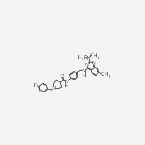 Cc1ccc2c(NCc3ccc(NC(=O)C4CCN(Cc5ccc(F)cc5)CC4)cc3)nc(N(C)C)nc2c1